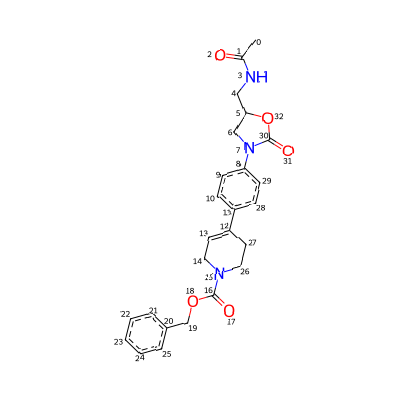 CC(=O)NCC1CN(c2ccc(C3=CCN(C(=O)OCc4ccccc4)CC3)cc2)C(=O)O1